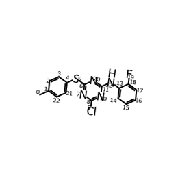 Cc1ccc(Sc2nc(Cl)nc(Nc3ccccc3F)n2)cc1